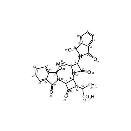 CSC1C(N2C(=O)c3ccccc3C2=O)C(=O)N1C1C(N2C(=O)c3ccccc3C2=O)C(=O)N1C(C)C(=O)O